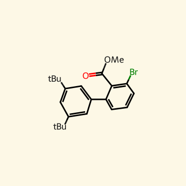 COC(=O)c1c(Br)cccc1-c1cc(C(C)(C)C)cc(C(C)(C)C)c1